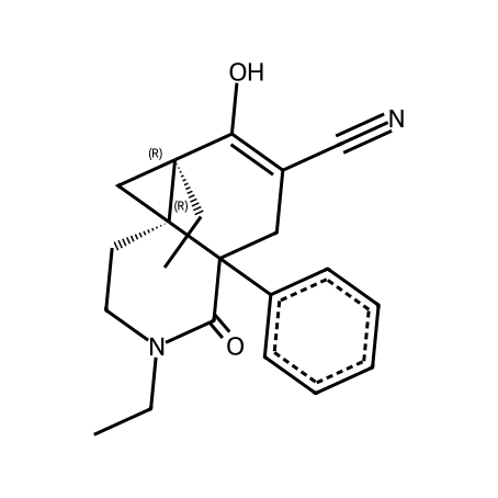 CCN1CC[C@]23C[C@@]2(CC)C(O)=C(C#N)CC3(c2ccccc2)C1=O